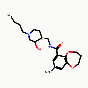 COc1cc2c(c(C(=O)NC[C@@H]3CCN(CCCC#N)CC3O)c1)OCCCO2